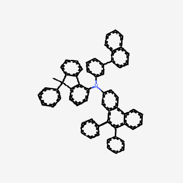 CC1(c2ccccc2)c2ccccc2-c2c(N(c3cccc(-c4cccc5ccccc45)c3)c3ccc4c(c3)c(-c3ccccc3)c(-c3ccccc3)c3ccccc34)cccc21